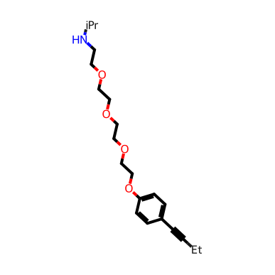 CCC#Cc1ccc(OCCOCCOCCOCCNC(C)C)cc1